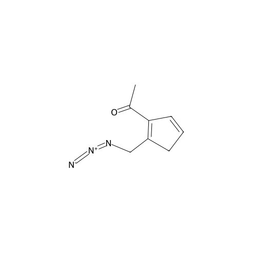 CC(=O)C1=C(CN=[N+]=[N-])CC=C1